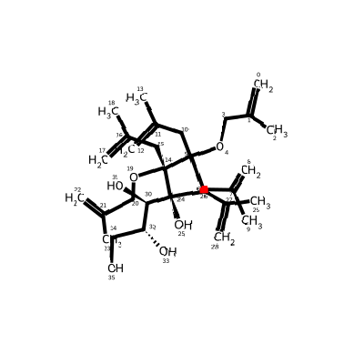 C=C(C)COC(CC(=C)C)(CC(=C)C)[C@@](CC(=C)C)(OCC(=C)C)[C@](O)(CC(=C)C)[C@H](O)[C@H](O)CO